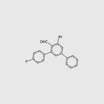 CC(C)c1cc(-c2ccccc2)cc(-c2ccc(F)cc2)c1C=O